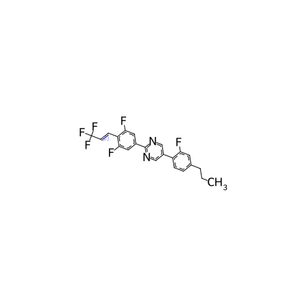 CCCc1ccc(-c2cnc(-c3cc(F)c(/C=C/C(F)(F)F)c(F)c3)nc2)c(F)c1